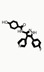 O=C(Nc1n[nH]c(-c2ccc(F)cc2)c1-c1ccncc1)C1CCC(O)CC1